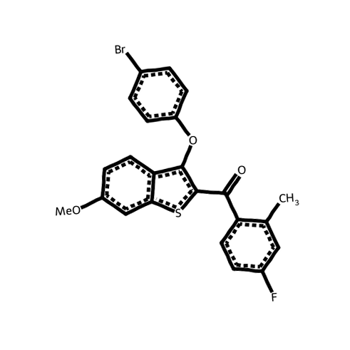 COc1ccc2c(Oc3ccc(Br)cc3)c(C(=O)c3ccc(F)cc3C)sc2c1